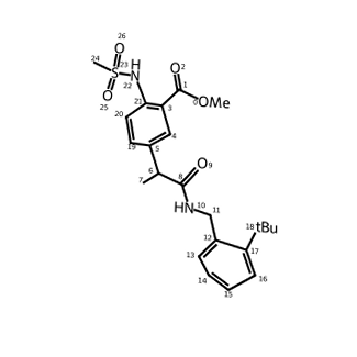 COC(=O)c1cc(C(C)C(=O)NCc2ccccc2C(C)(C)C)ccc1NS(C)(=O)=O